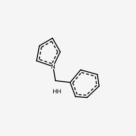 [HH].c1ccc(Cn2cccc2)cc1